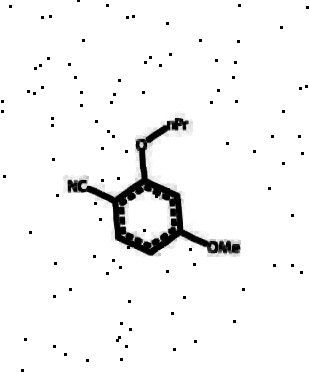 CCCOc1cc(OC)ccc1C#N